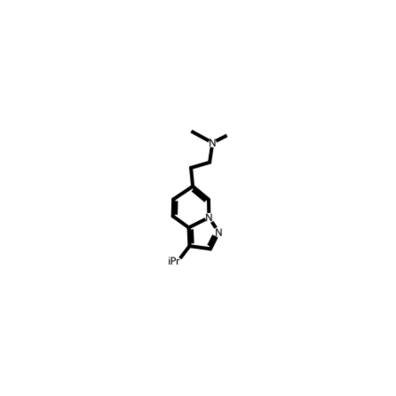 CC(C)c1cnn2cc(CCN(C)C)ccc12